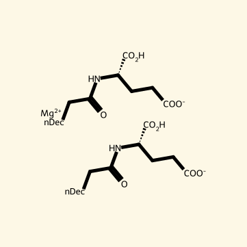 CCCCCCCCCCCC(=O)N[C@@H](CCC(=O)[O-])C(=O)O.CCCCCCCCCCCC(=O)N[C@@H](CCC(=O)[O-])C(=O)O.[Mg+2]